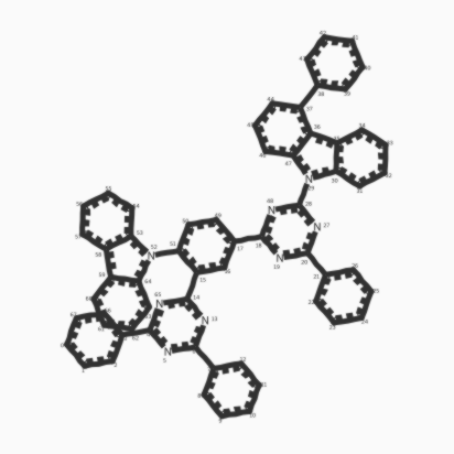 c1ccc(-c2nc(-c3ccccc3)nc(-c3cc(-c4nc(-c5ccccc5)nc(-n5c6ccccc6c6c(-c7ccccc7)cccc65)n4)ccc3-n3c4ccccc4c4ccccc43)n2)cc1